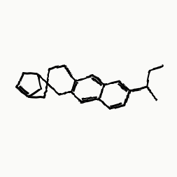 CCC(C)c1ccc2cc3c(cc2c1)CCC1(CC2=CCC1C2)C3